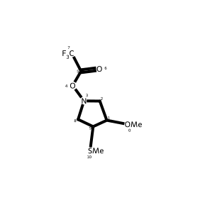 COC1CN(OC(=O)C(F)(F)F)CC1SC